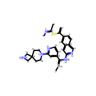 C=C(S/C(C)=N\C)c1ccc2cnc(N/C(=B\C)c3ccnc(N4CCC5(CC4)CNC5)c3)cc2c1